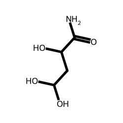 NC(=O)C(O)CC(O)O